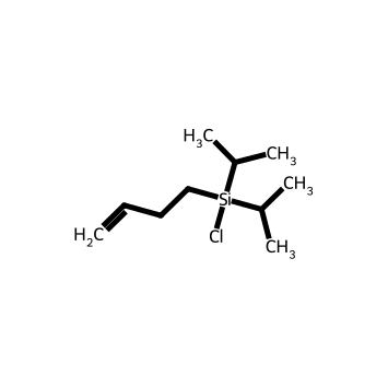 C=CCC[Si](Cl)(C(C)C)C(C)C